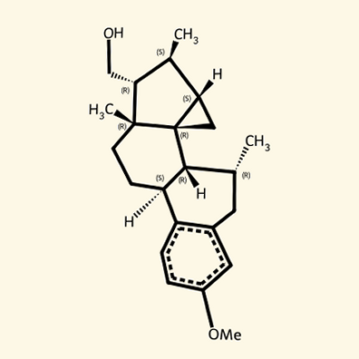 COc1ccc2c(c1)C[C@@H](C)[C@@H]1[C@@H]2CC[C@]2(C)[C@H](CO)[C@@H](C)[C@@H]3C[C@]132